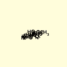 COC(=O)c1cccc2c1OB(O)[C@@H](NC(=O)CCc1cncs1)C2